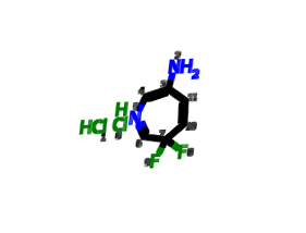 Cl.Cl.NC1=CN=CC(F)(F)C=C1